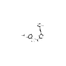 CC(=O)Nc1cccc(S(C)(=O)=NC(=O)c2cncc(C#Cc3cncn3C)c2)c1